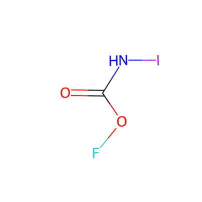 O=C(NI)OF